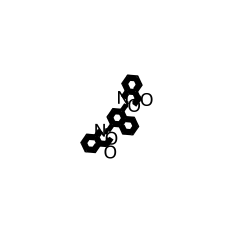 O=c1oc(-c2ccc(-c3nc4ccccc4c(=O)o3)c3ccccc23)nc2ccccc12